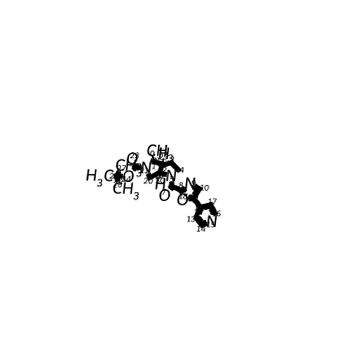 C[C@@H]1[C@H]2CCN(C(=O)c3ncc(-c4ccncc4)o3)[C@H]2CN1C(=O)OC(C)(C)C